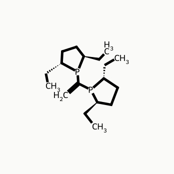 C=C(P1[C@H](CC)CC[C@H]1CC)P1[C@H](CC)CC[C@H]1CC